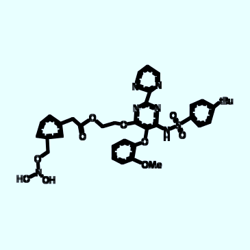 COc1ccccc1Oc1c(NS(=O)(=O)c2ccc(C(C)(C)C)cc2)nc(-c2ncccn2)nc1OCCOC(=O)Cc1cccc(CON(O)O)c1